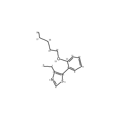 [CH2]Cc1ncsc1-c1ccccc1OCCCCC